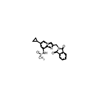 C[S+]([O-])Nc1cc(C2CC2)cn2cc(CN3C(=O)c4ccccc4C3=O)nc12